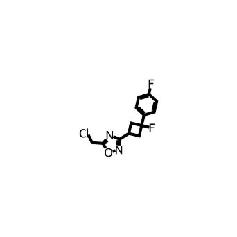 Fc1ccc(C2(F)CC(c3noc(CCl)n3)C2)cc1